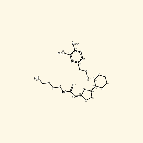 BCCCCNC(=O)O[C@@H]1CCN([C@@H]2CCCC[C@H]2OCCc2ccc(OC)c(OC)c2)C1